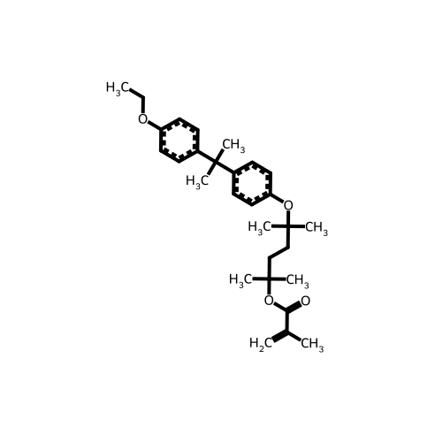 C=C(C)C(=O)OC(C)(C)CCC(C)(C)Oc1ccc(C(C)(C)c2ccc(OCC)cc2)cc1